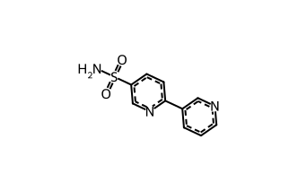 NS(=O)(=O)c1ccc(-c2cccnc2)nc1